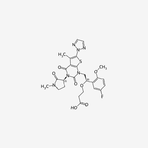 COc1ccc(F)cc1[C@H](Cn1c(=O)n([C@H]2CCN(C)C2=O)c(=O)c2c(C)c(-n3nccn3)sc21)OCCC(=O)O